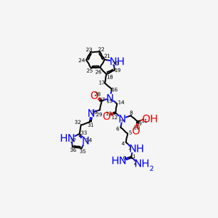 N=C(N)NCCCN(CC(=O)O)C(=O)CN(CCc1c[nH]c2ccccc12)C(=O)C/N=C/Cc1ncc[nH]1